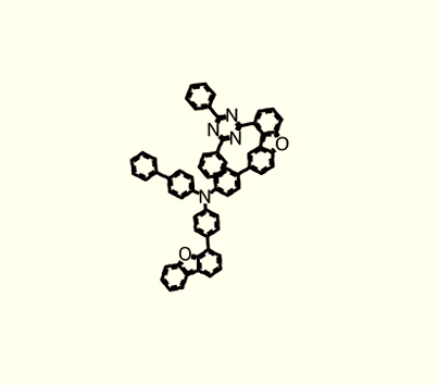 c1ccc(-c2ccc(N(c3ccc(-c4ccc5oc6cccc(-c7nc(-c8ccccc8)nc(-c8ccccc8)n7)c6c5c4)cc3)c3ccc(-c4cccc5c4oc4ccccc45)cc3)cc2)cc1